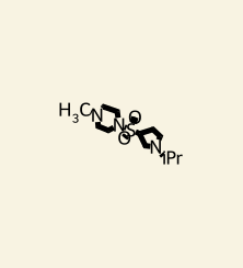 CC(C)N1CCC(S(=O)(=O)N2CCN(C)CC2)C1